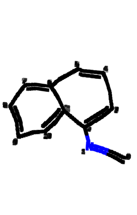 C=Nc1cccc2ccccc12